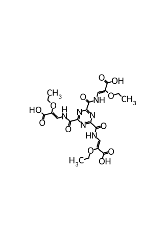 CCOC(=CNC(=O)c1nc(C(=O)NC=C(OCC)C(=O)O)nc(C(=O)NC=C(OCC)C(=O)O)n1)C(=O)O